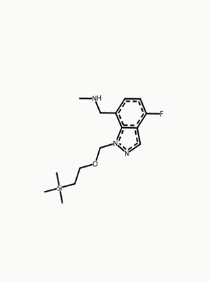 CNCc1ccc(F)c2cnn(COCC[Si](C)(C)C)c12